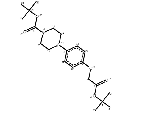 CC(C)(C)OC(=O)COc1ccc(N2CCN(C(=O)OC(C)(C)C)CC2)cc1